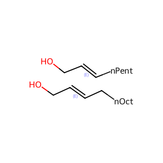 CCCCC/C=C/CO.CCCCCCCCC/C=C/CO